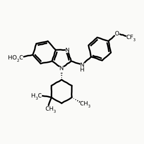 C[C@H]1C[C@@H](n2c(Nc3ccc(OC(F)(F)F)cc3)nc3ccc(C(=O)O)cc32)CC(C)(C)C1